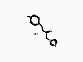 Cl.O=C(CCc1ccc(F)cc1)Cn1ccnc1